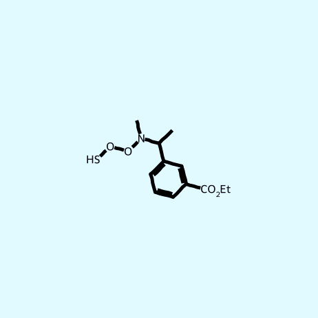 CCOC(=O)c1cccc(C(C)N(C)OOS)c1